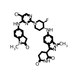 CN1C(=O)Cc2cc(Nc3nc(N4CC[C@@H](Nc5ccc6c(C7CCC(=O)NC7=O)nn(C)c6c5)[C@H](F)C4)ncc3Cl)ccc21